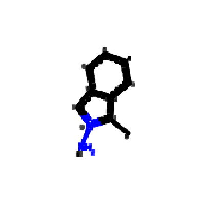 Cc1c2ccccc2cn1N